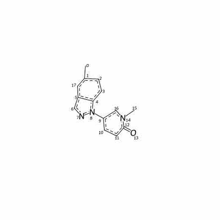 Cc1ccc2c(cnn2-c2ccc(=O)n(C)c2)c1